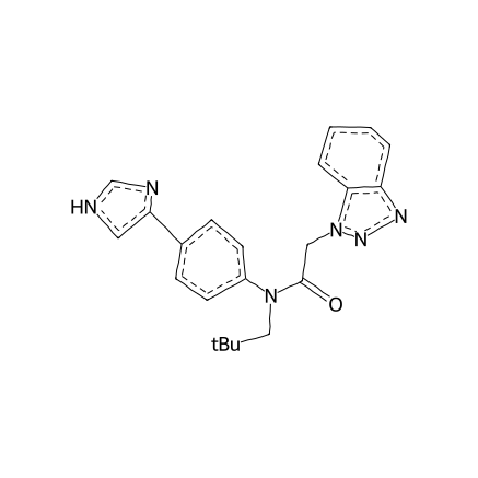 CC(C)(C)CN(C(=O)Cn1nnc2ccccc21)c1ccc(-c2c[nH]cn2)cc1